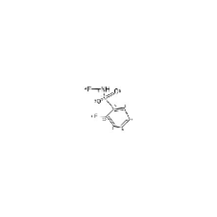 O=S(=O)(NF)c1ccccc1F